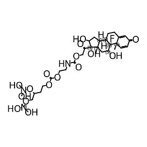 C[C@]12C=CC(=O)C=C1CC[C@H]1[C@@H]3CC(O)[C@](O)(C(=O)COC(=O)NCCOC(=O)OCCC(CON(O)O)ON(O)O)[C@@]3(C)C[C@H](O)[C@@]12F